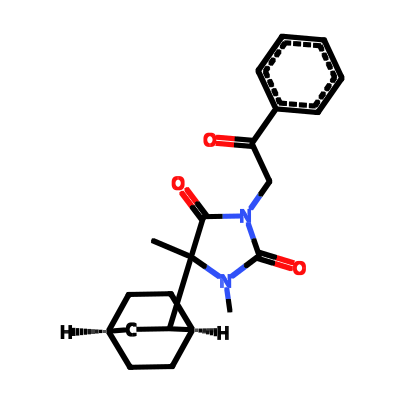 CN1C(=O)N(CC(=O)c2ccccc2)C(=O)C1(C)C1C[C@H]2CC[C@@H]1CC2